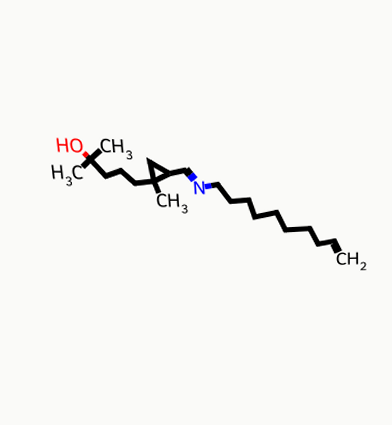 C=CCCCCCCCC/N=C/C1CC1(C)CCCC(C)(C)O